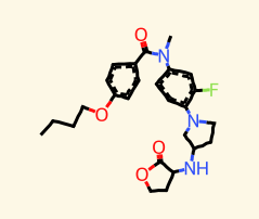 CCCCOc1ccc(C(=O)N(C)c2ccc(N3CCC(NC4CCOC4=O)C3)c(F)c2)cc1